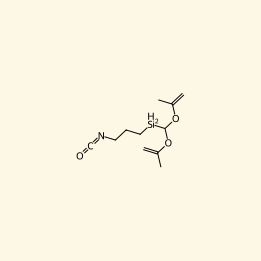 C=C(C)OC(OC(=C)C)[SiH2]CCCN=C=O